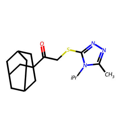 Cc1nnc(SCC(=O)C23CC4CC(CC(C4)C2)C3)n1C(C)C